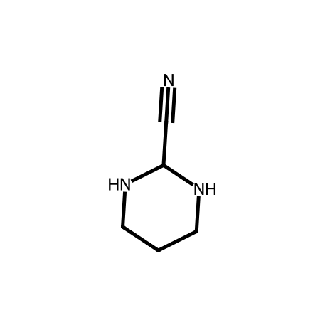 N#CC1NCCCN1